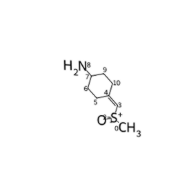 C[S+]([O-])C=C1CCC(N)CC1